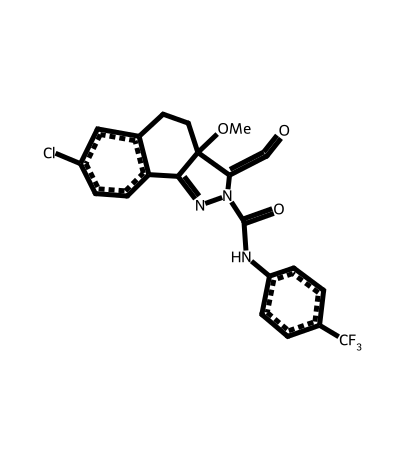 COC12CCc3cc(Cl)ccc3C1=NN(C(=O)Nc1ccc(C(F)(F)F)cc1)C2=C=O